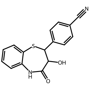 N#Cc1ccc(C2Sc3ccccc3NC(=O)C2O)cc1